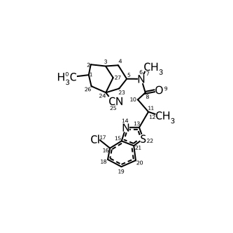 CC1CC2CC(N(C)C(=O)CC(C)c3nc4c(Cl)cccc4s3)CC(C#N)(C1)C2